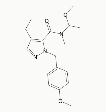 CCc1cnn(Cc2ccc(OC)cc2)c1C(=O)N(C)C(C)OC